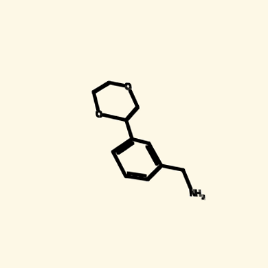 NCc1cccc(C2COCCO2)c1